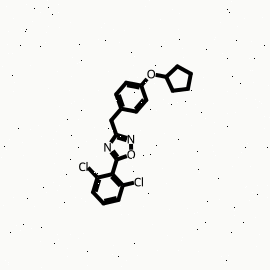 Clc1cccc(Cl)c1-c1nc(Cc2ccc(OC3CCCC3)cc2)no1